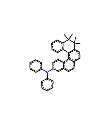 CC1(C)c2ccccc2-c2c(ccc3ccc4cc(N(c5ccccc5)c5ccccc5)ccc4c23)C1(C)C